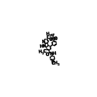 CC1=C(C(=O)NC2CCN(C)CC2)C=C(c2cccc(S(=O)(=O)C3CC3)c2)C2c3cc(C)cnc3NC12